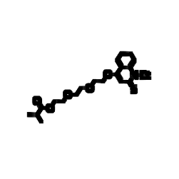 C=C(C)C(=O)OCCOCCOCCOc1cc(=S)n(CC)c2ccccc12